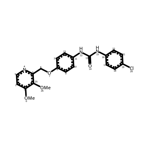 COc1ccnc(COc2ccc(NC(=O)Nc3ccc(Cl)cc3)cc2)c1OC